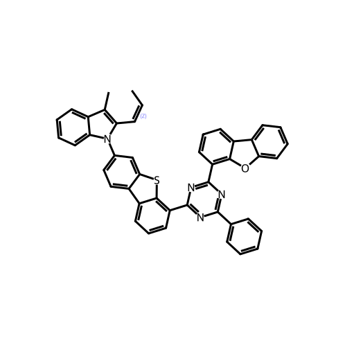 C/C=C\c1c(C)c2ccccc2n1-c1ccc2c(c1)sc1c(-c3nc(-c4ccccc4)nc(-c4cccc5c4oc4ccccc45)n3)cccc12